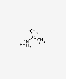 CC(C)N.F